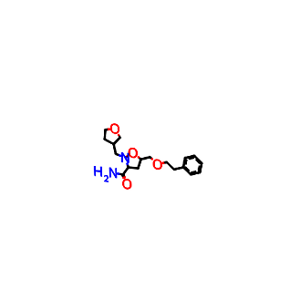 NC(=O)C1CC(COCCc2ccccc2)ON1CC1CCOC1